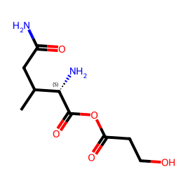 CC(CC(N)=O)[C@H](N)C(=O)OC(=O)CCO